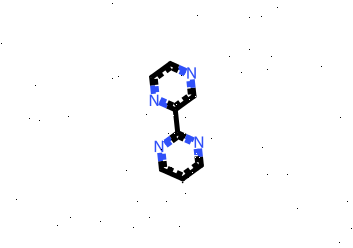 [c]1cnc(-c2cnccn2)nc1